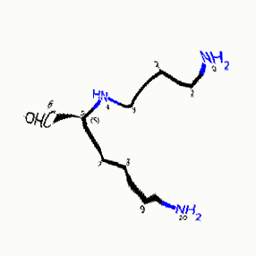 NCCCN[C@H]([C]=O)CCCN